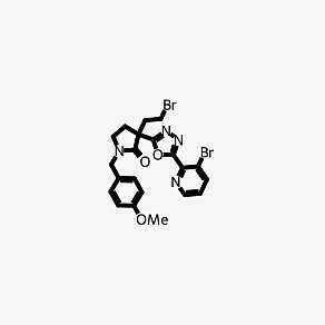 COc1ccc(CN2CCC(CCBr)(c3nnc(-c4ncccc4Br)o3)C2=O)cc1